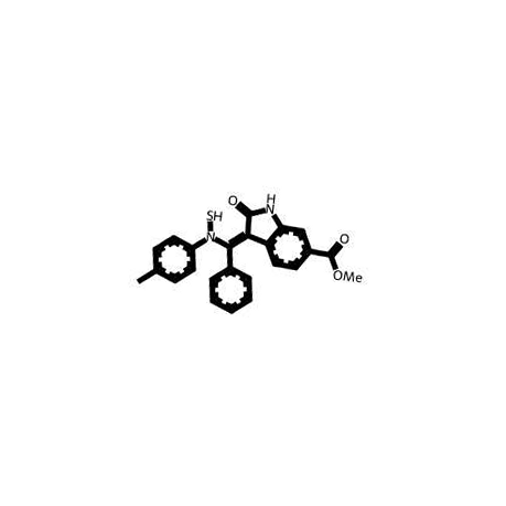 COC(=O)c1ccc2c(c1)NC(=O)/C2=C(/c1ccccc1)N(S)c1ccc(C)cc1